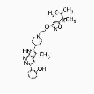 Cc1c(C2CCN(CCOc3cc([C@H](C)C(C)C)on3)CC2)[nH]c2nnc(-c3ccccc3O)cc12